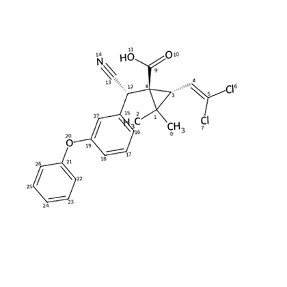 CC1(C)[C@@H](C=C(Cl)Cl)[C@@]1(C(=O)O)[C@@H](C#N)c1cccc(Oc2ccccc2)c1